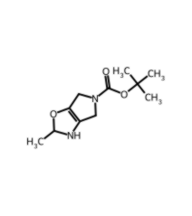 CC1NC2=C(CN(C(=O)OC(C)(C)C)C2)O1